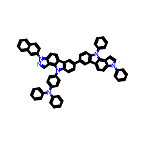 c1ccc(N(c2ccccc2)c2ccc(-n3c4ccc(-c5ccc6c(c5)c5ccc7c(ccn7-c7ccccc7)c5n6-c5ccccc5)cc4c4ccc5c(cnn5-c5ccc6ccccc6c5)c43)cc2)cc1